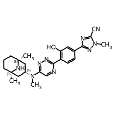 CN(c1cnc(-c2ccc(-c3nc(C#N)n(C)n3)cc2O)nn1)[C@H]1C[C@]2(C)CCC[C@](C)(C1)N2